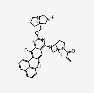 C=CC(=O)N1CCC2[C@H]1CN2c1nc(OC[C@@]23CCCN2C[C@H](F)C3)nc2c(F)c(-c3cccc4cccc(Cl)c34)c(F)cc12